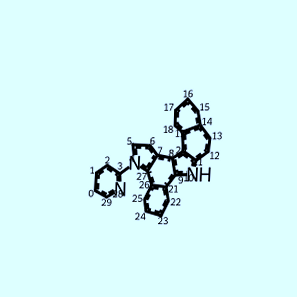 c1ccc(-n2ccc3c4c([nH]c5ccc6ccccc6c54)c4ccccc4c32)nc1